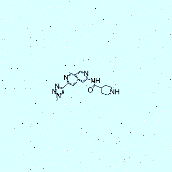 Cn1cc(-c2cc3cc(NC(=O)C4CCNCC4)ncc3cn2)nn1